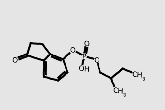 CCC(C)COP(=O)(O)Oc1cccc2c1CCC2=O